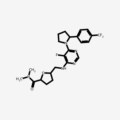 CN(C)C(=O)C1CCC(CNc2ncnc(N3CCCC3c3ccc(C(F)(F)F)cc3)c2F)O1